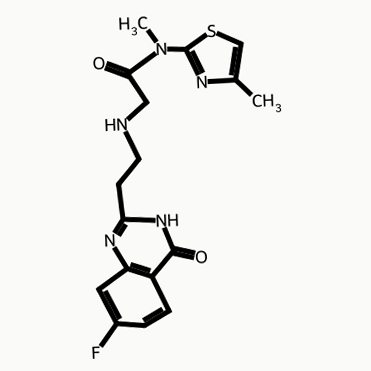 Cc1csc(N(C)C(=O)CNCCc2nc3cc(F)ccc3c(=O)[nH]2)n1